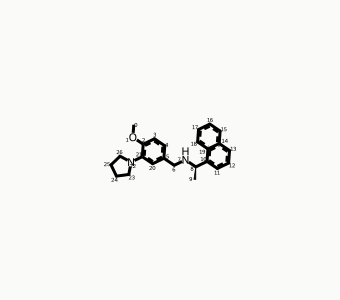 COc1ccc(CN[C@H](C)c2cccc3ccccc23)cc1N1CCCC1